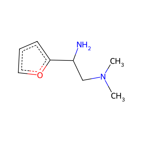 CN(C)CC(N)c1ccco1